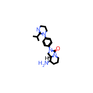 CC(C)C1=NCCCN1c1ccc(N2C[C@@H]3[C@H](N)CCCN3C2=O)cc1